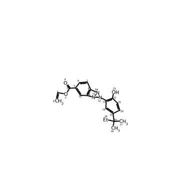 C=COC(=O)c1ccc2c(c1)n1n(-c3cc(C(C)(C)CC)ccc3O)n21